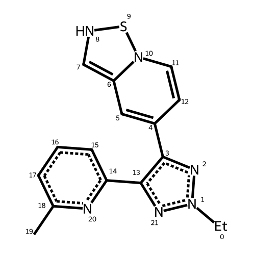 CCn1nc(C2=CC3=CNSN3C=C2)c(-c2cccc(C)n2)n1